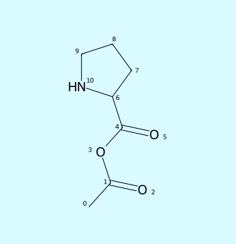 CC(=O)OC(=O)C1CCCN1